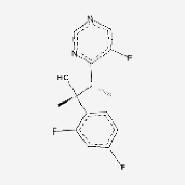 C[C@@H](c1ncncc1F)[C@@](C)(O)c1ccc(F)cc1F